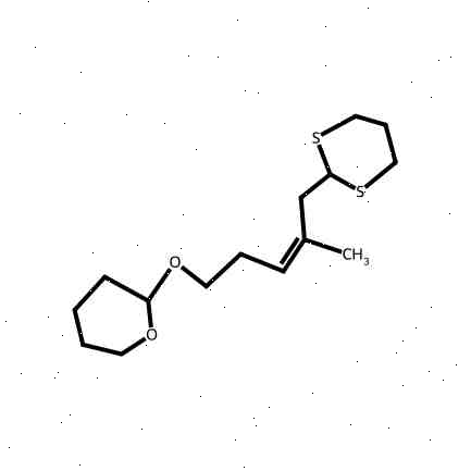 CC(=CCCOC1CCCCO1)CC1SCCCS1